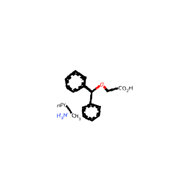 CCCC.N.O=C(O)COC(c1ccccc1)c1ccccc1